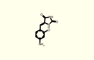 Nc1ccc(/C=C2\NC(=O)NC2=O)c(Cl)c1